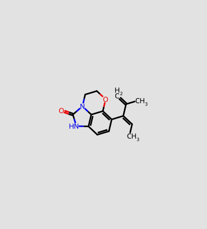 C=C(C)/C(=C/C)c1ccc2[nH]c(=O)n3c2c1OCC3